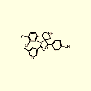 Cc1cncc(C(=O)N(C)[C@]2(C(=O)c3ccc(C#N)cc3)CNC[C@H]2c2ccc(Cl)c(Cl)c2)c1